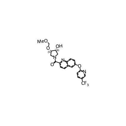 COCO[C@H]1CN(C(=O)c2ccc3cc(Oc4ccc(C(F)(F)F)cn4)ccc3n2)C[C@H]1O